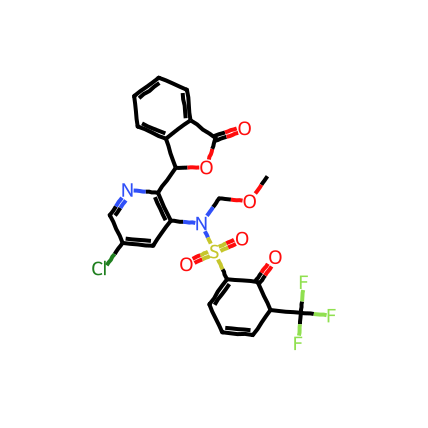 COCN(c1cc(Cl)cnc1C1OC(=O)c2ccccc21)S(=O)(=O)C1=CC=CC(C(F)(F)F)C1=O